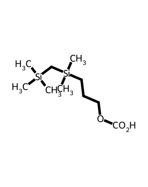 C[Si](C)(C)C[Si](C)(C)CCCOC(=O)O